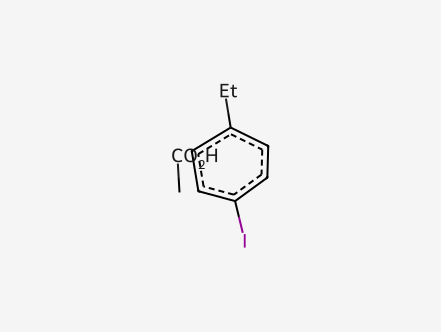 CC(=O)O.CCc1ccc(I)cc1